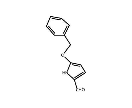 O=Cc1ccc(OCc2ccccc2)[nH]1